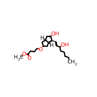 CCCCCC(O)C=C[C@H]1[C@@H]2CC(OCCCC(=O)OC)C[C@H]2C[C@@H]1O